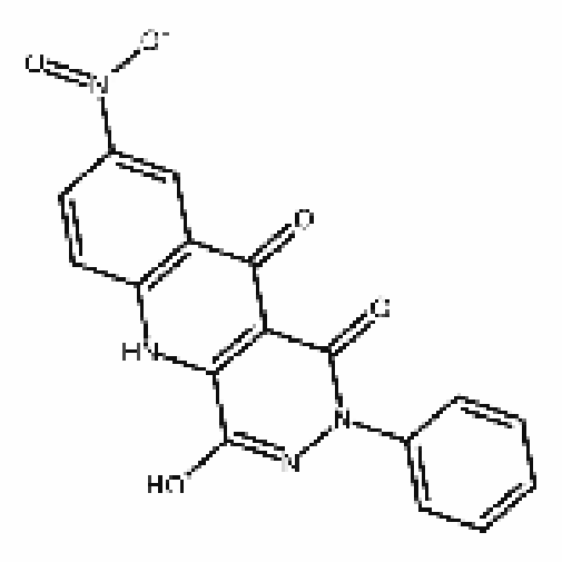 O=c1c2cc([N+](=O)[O-])ccc2[nH]c2c(O)nn(-c3ccccc3)c(=O)c12